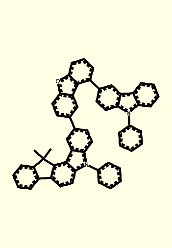 CC1(C)c2ccccc2-c2ccc3c(c21)c1cc(-c2ccc4oc5cccc(-c6ccc7c(c6)c6ccccc6n7-c6ccccc6)c5c4c2)ccc1n3-c1ccccc1